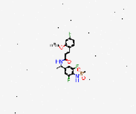 CCCCOc1cc(F)ccc1/C=C/C(=O)N[C@H](C)c1cc(F)c(NS(C)(=O)=O)c(F)c1